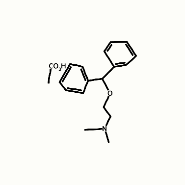 CC(=O)O.CN(C)CCOC(c1ccccc1)c1ccccc1